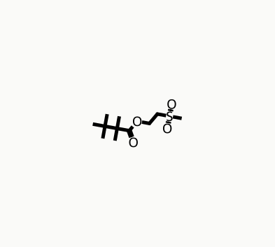 CC(C)(C)C(C)(C)C(=O)OCCS(C)(=O)=O